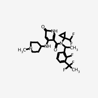 CC(c1cccc(C(C)(F)F)c1F)N(C(=O)c1c[nH]c(=O)cc1NC1CCN(C)CC1)C1(C(F)F)CC1